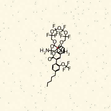 CCCCCc1ccc(-c2cc3ccc(OCC(F)(F)OC(F)(F)OC(F)(F)OC(F)(F)COC(=O)C(C)(CC(C)(C)N)C(C)(C)N)cc3oc2=O)c(OC(F)(F)F)c1